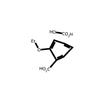 CCOc1ccccc1C(=O)O.O=C(O)O